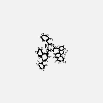 C[Si]1(C)c2cccc(-c3nc(-c4ccccc4)nc(-c4ccc(-c5ccccc5)c5ccccc45)n3)c2-c2ccc3ccccc3c21